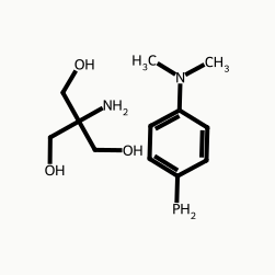 CN(C)c1ccc(P)cc1.NC(CO)(CO)CO